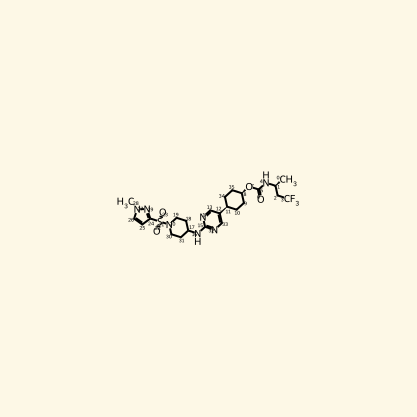 C[C@@H](CC(F)(F)F)NC(=O)O[C@H]1CC[C@@H](c2cnc(NC3CCN(S(=O)(=O)c4ccn(C)n4)CC3)nc2)CC1